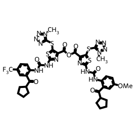 COc1ccc(NC(=O)Nc2nc(C(=O)OC(=O)c3nc(NC(=O)Nc4ccc(C(F)(F)F)cc4C(=O)C4CCCC4)sc3Sc3nnnn3C)c(Sc3nnnn3C)s2)c(C(=O)C2CCCC2)c1